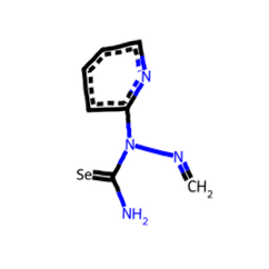 C=NN(C(N)=[Se])c1ccccn1